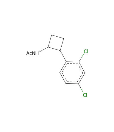 CC(=O)NC1CCC1c1ccc(Cl)cc1Cl